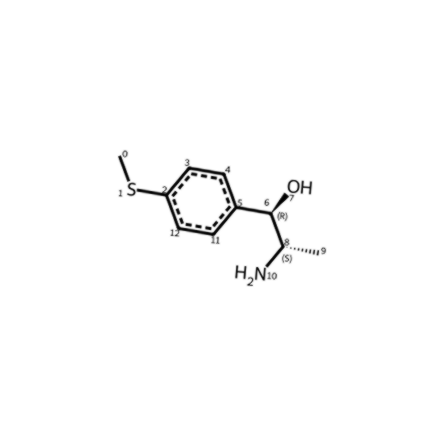 CSc1ccc([C@@H](O)[C@H](C)N)cc1